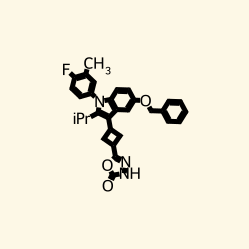 Cc1cc(-n2c(C(C)C)c(C3CC(c4n[nH]c(=O)o4)C3)c3cc(OCc4ccccc4)ccc32)ccc1F